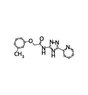 Cc1cccc(OCC(=O)Nc2nnc(-c3ccccn3)[nH]2)c1